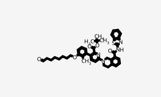 Cc1c(OCCCCCCCC=O)cccc1-c1ccc(N2CCc3cccc(C(=O)Nc4nc5ccccc5s4)c3C2)nc1C(=O)OC(C)(C)C